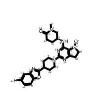 CN1C[C@@H](Nc2nc(N3CCC(c4nc5cc(F)ccc5o4)CC3)nc3c2[S+]([O-])CC3)CCC1=O